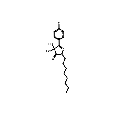 CCCCCCCCN1N=C(c2ccc(Cl)cc2)C(O)(O)C1=O